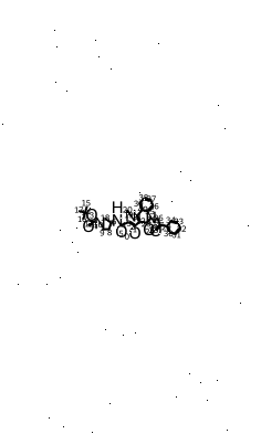 COc1c(C(=O)NC2CCN(C(=O)OC(C)(C)C)C2)n(C)c2c1c(=O)n(CC(=O)c1ccccc1)c1ccccc21